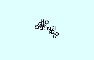 CCOC(=O)c1cnc(N2CC(N(C(=O)NS(=O)(=O)c3ccccc3)c3ccccc3)C2)c(Cl)c1